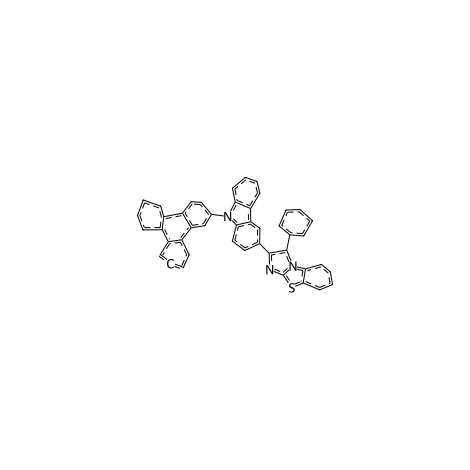 c1ccc(-c2c(-c3ccc4c(c3)c3ccccc3n4-c3ccc4c5ccccc5c5ccccc5c4c3)nc3sc4ccccc4n23)cc1